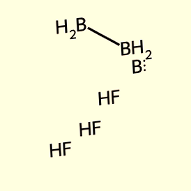 BB.F.F.F.[B]